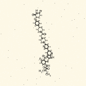 CCN(C)S(=O)(=O)Nc1ccc(F)c(C(=O)c2c[nH]c3ncc(-c4ccc(N5CCN(CC(=O)N6CCC(c7ccc(OC8CCC(=O)NC8=O)cc7)CC6)CC5)nc4)cc23)c1F